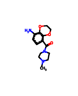 CN1CCN(C(=O)c2ccc(N)c3c2OCCO3)CC1